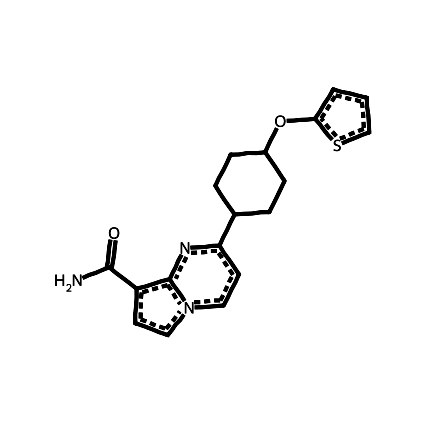 NC(=O)c1ccn2ccc(C3CCC(Oc4cccs4)CC3)nc12